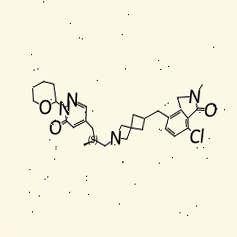 C[C@@H](Cc1cnn(C2CCCCO2)c(=O)c1)CN1CC2(CC(Cc3ccc(Cl)c4c3CN(C)C4=O)C2)C1